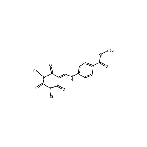 CCCCOC(=O)c1ccc(NC=C2C(=O)N(CC)C(=O)N(CC)C2=O)cc1